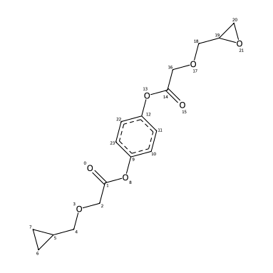 O=C(COCC1CC1)Oc1ccc(OC(=O)COCC2CO2)cc1